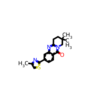 Cc1csc(-c2ccc3c(=O)n4c(nc3c2)CCC(C)(C)C4)n1